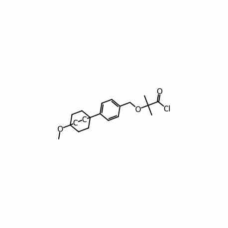 COC12CCC(c3ccc(COC(C)(C)C(=O)Cl)cc3)(CC1)CC2